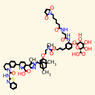 Cc1c(-c2ccc(-c3ccc4c(c3)N(C(=O)Nc3nc5ccccc5s3)CCC4)nc2C(=O)O)cnn1CC12CC3(C)CC(C)(C1)CC(OCCN(C)C(=O)OC/C=C/c1ccc(O[C@@H]4O[C@H](C(=O)O)[C@@H](O)[C@H](O)[C@H]4O)c(NC(=O)CCNC(=O)CCCCCN4C(=O)C=CC4=O)c1)(C3)C2